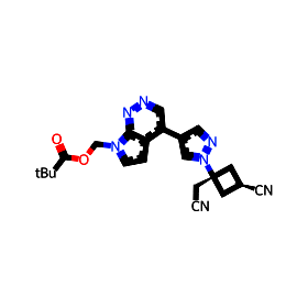 CC(C)(C)C(=O)OCn1ccc2c(-c3cnn([C@]4(CC#N)C[C@@H](C#N)C4)c3)cnnc21